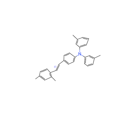 Cc1cccc(N(c2ccc(/C=C/c3ccc(C)cc3C)cc2)c2cccc(C)c2)c1